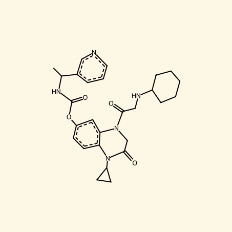 CC(NC(=O)Oc1ccc2c(c1)N(C(=O)CNC1CCCCC1)CC(=O)N2C1CC1)c1cccnc1